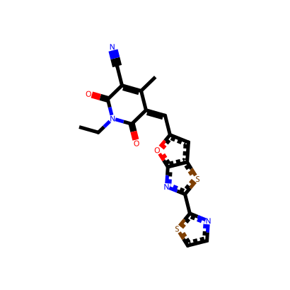 CCN1C(=O)C(C#N)=C(C)/C(=C/c2cc3sc(-c4nccs4)nc3o2)C1=O